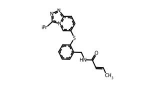 CC=CC(=O)NCc1ccccc1Sc1ccc2nnc(C(C)C)n2c1